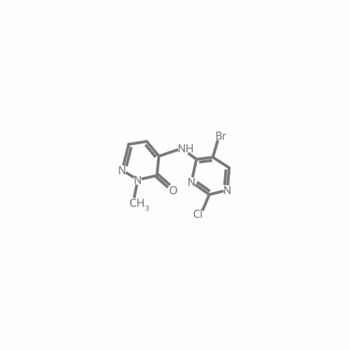 Cn1nccc(Nc2nc(Cl)ncc2Br)c1=O